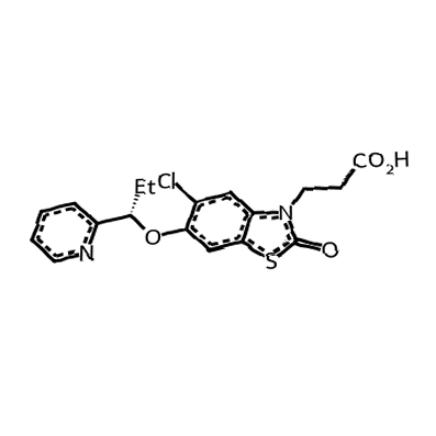 CC[C@H](Oc1cc2sc(=O)n(CCC(=O)O)c2cc1Cl)c1ccccn1